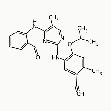 C#Cc1cc(Nc2ncc(C)c(Nc3ccccc3C=O)n2)c(OC(C)C)cc1C